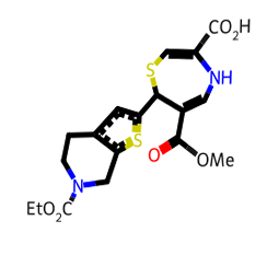 CCOC(=O)N1CCc2cc(C3SC=C(C(=O)O)NC=C3C(=O)OC)sc2C1